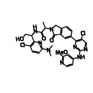 COc1cc(Nc2ncc(Cl)c(-c3ccc4c(c3)C(=O)N(C(C)C(=O)NC(CO)c3nc(N(C)C)ccc3Cl)C4)n2)ccn1